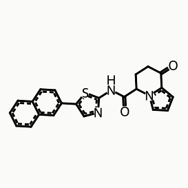 O=C1CCC(C(=O)Nc2ncc(-c3ccc4ccccc4c3)s2)n2cccc21